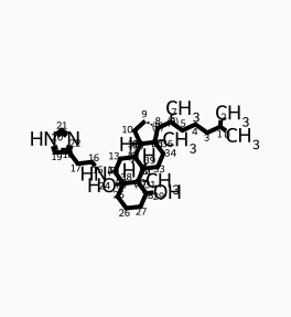 CC(C)CCC[C@@H](C)[C@H]1CC[C@H]2[C@@H]3C[C@@H](NCCc4c[nH]cn4)[C@@]4(O)CCCC(O)[C@]4(C)[C@H]3CC[C@]12C